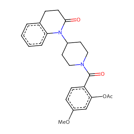 COc1ccc(C(=O)N2CCC(N3C(=O)CCc4ccccc43)CC2)c(OC(C)=O)c1